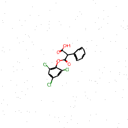 O=C(O)C(C(=O)Oc1c(Cl)cc(Cl)cc1Cl)c1ccccc1